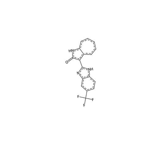 O=c1[nH]c2cccccc-2c1-c1nc2cc(C(F)(F)F)ccc2[nH]1